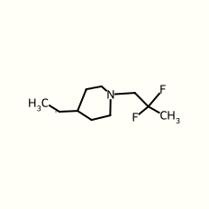 C[CH]C1CCN(CC(C)(F)F)CC1